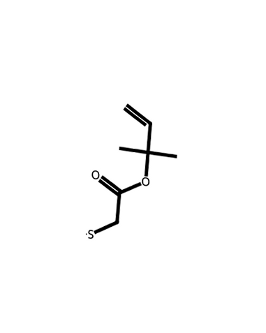 C=CC(C)(C)OC(=O)C[S]